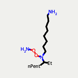 CCCCCC(CC)N(CCCCCCCCN)OON